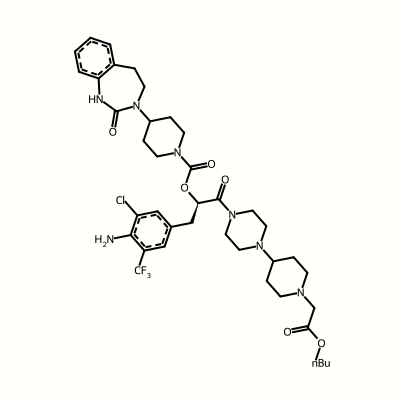 CCCCOC(=O)CN1CCC(N2CCN(C(=O)[C@@H](Cc3cc(Cl)c(N)c(C(F)(F)F)c3)OC(=O)N3CCC(N4CCc5ccccc5NC4=O)CC3)CC2)CC1